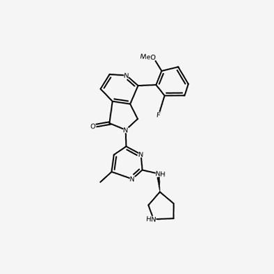 COc1cccc(F)c1-c1nccc2c1CN(c1cc(C)nc(N[C@H]3CCNC3)n1)C2=O